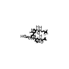 Cc1ncc(NC(=O)NCCC2(C)CC2)cc1-c1cc(OCCO)nc(-c2ccnc(NC(=O)C3CC3)c2)n1